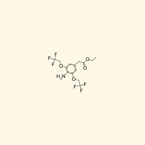 CCOC(=O)Cc1cc(OCC(F)(F)F)c(N)c(OCC(F)(F)F)c1